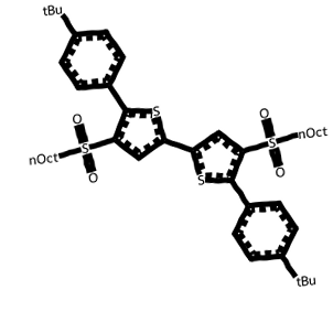 CCCCCCCCS(=O)(=O)c1cc(-c2cc(S(=O)(=O)CCCCCCCC)c(-c3ccc(C(C)(C)C)cc3)s2)sc1-c1ccc(C(C)(C)C)cc1